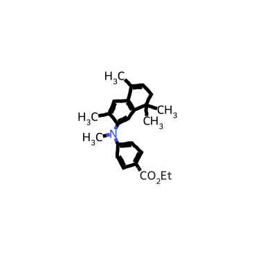 CCOC(=O)c1ccc(N(C)c2cc3c(cc2C)C(C)=CCC3(C)C)cc1